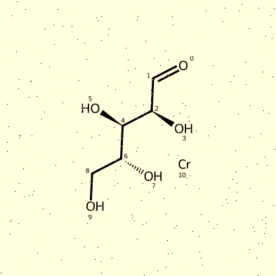 O=C[C@@H](O)[C@H](O)[C@H](O)CO.[Cr]